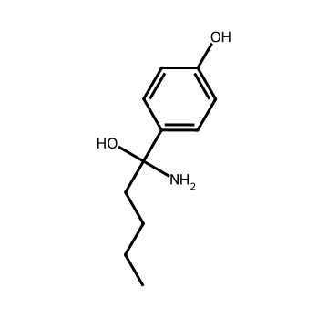 CCCCC(N)(O)c1ccc(O)cc1